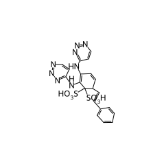 O=S(=O)(O)C1(S(=O)(=O)O)C(Nc2ccnnn2)=C(Nc2ccnnn2)C=CC1C=Cc1ccccc1